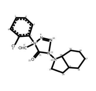 O=[C][N+]1(c2ccccc2Cl)N=NN(N2CCC3CCCCC32)C1=O